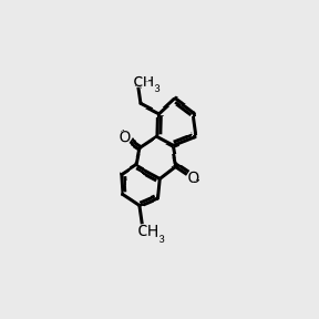 CCc1cccc2c1C(=O)c1ccc(C)cc1C2=O